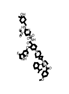 COc1ccc(C(=O)N2CCN(C3CC4(CCN(c5ccc(C(=O)NS(=O)(=O)c6cnc(NCC7CCC(C)(O)CC7)c([N+](=O)[O-])c6)c(Oc6cnc7[nH]cc(F)c7c6)c5)CC4)C3)[C@H](c3ccccc3C(C)C)C2)cc1